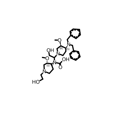 CO[C@H]1CN(CCO)CC[C@@H]1N(C(=O)O)C(CO)N1CC[C@H](N(Cc2ccccc2)Cc2ccccc2)[C@H](OC)C1